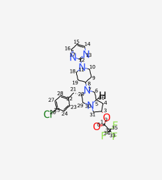 O=C(O[C@H]1C[C@H]2CN(C3CCN(c4ncccn4)CC3)[C@@H](Cc3ccc(Cl)cc3)CN2C1)C(F)(F)F